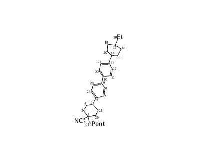 CCCCCC1(C#N)CCC(c2ccc(-c3ccc(C4CCC(CC)CC4)cc3)cc2)CC1